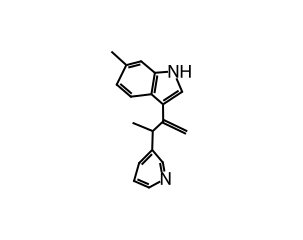 C=C(c1c[nH]c2cc(C)ccc12)C(C)c1cccnc1